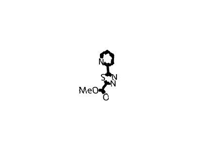 COC(=O)c1nnc(-c2ccccn2)s1